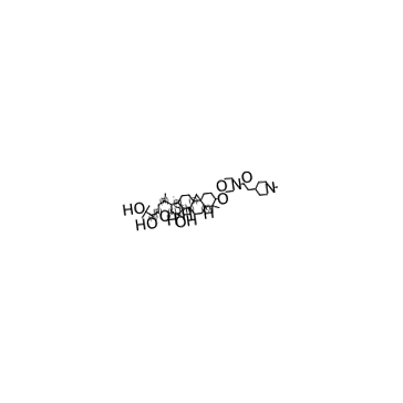 C[C@@H]1C[C@H]([C@H](O)C(C)(C)O)O[C@H]2C1[C@@]1(C)CC[C@@]34CC35CCC(OC3CN(C(=O)CC6CCN(C)CC6)CCO3)C(C)(C)[C@@H]5CC[C@H]4[C@]1(C)[C@H]2O